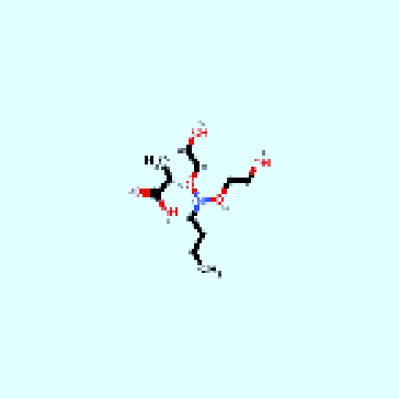 CCC(=O)O.CCCCN(OCCO)OCCO